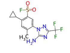 Cc1cc(C2CC2)c(S(=O)(=O)F)cc1-n1nc(C(F)(F)F)nc1N